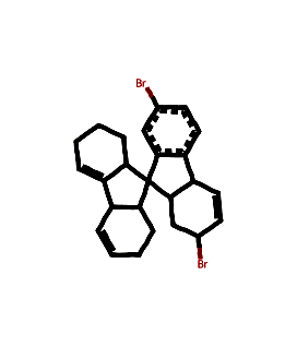 Brc1ccc2c(c1)C1(C3CCCC=C3C3C=CCCC31)C1CC(Br)C=CC21